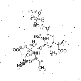 C=C(CCCOS(=O)(=O)O)C(=O)[O-].C=CC(=O)NC(C)(C)C.C=CC(=O)NC(C)(C)CC(=O)[O-].O=S(=O)([O-])[O-].[Na+].[Na+].[Na+].[Na+]